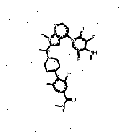 CNc1c(F)cn(-c2ccnc3c2cc([C@H](C)N2CC=C(c4c(C)cc(C(=O)N(C)C)cc4F)CC2)n3C)c(=O)c1F